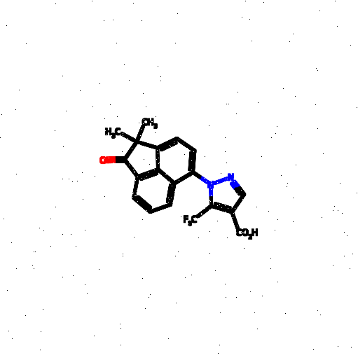 CC1(C)C(=O)c2cccc3c(-n4ncc(C(=O)O)c4C(F)(F)F)ccc1c23